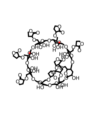 O=C1OCCC1OCC1OC2OC3C(COC4CCOC4=O)OC(OC4C(O)CC(OC4COC4CCOC4=O)OC4C(COC5CCOC5=O)OC(OC5C(COC6CCOC6=O)OC(OC6C(COC7CCOC7=O)OC(OC7C(COC8CCOC8=O)OC(OC8C(COC9CCOC9=O)OC(OC1CC2O)C(O)C8O)C(O)C7O)C(O)C6O)C(O)C5O)C(O)C4O)C(O)C3O